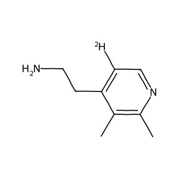 [2H]c1cnc(C)c(C)c1CCN